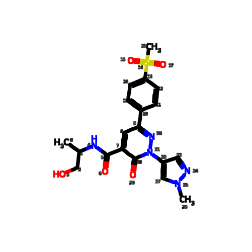 CC(CO)NC(=O)c1cc(-c2ccc(S(C)(=O)=O)cc2)nn(-c2cnn(C)c2)c1=O